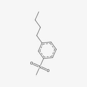 CCCCc1cccc(S(C)(=O)=O)c1